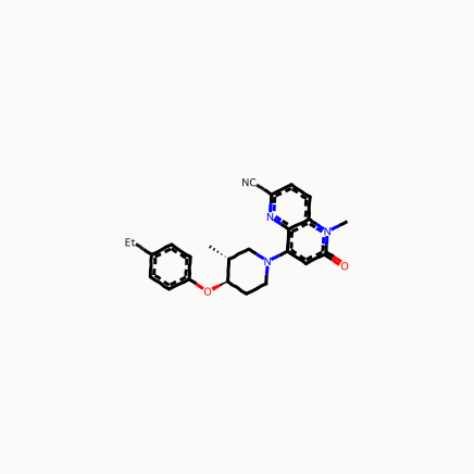 CCc1ccc(O[C@@H]2CCN(c3cc(=O)n(C)c4ccc(C#N)nc34)C[C@H]2C)cc1